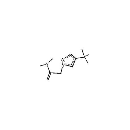 C=C(Cn1cc(C(C)(C)C)cn1)N(C)C